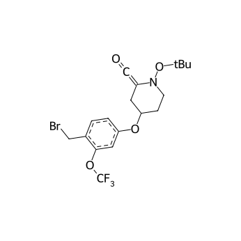 CC(C)(C)ON1CCC(Oc2ccc(CBr)c(OC(F)(F)F)c2)CC1=C=O